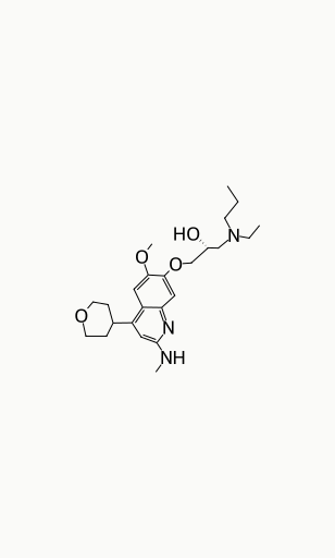 CCCN(CC)C[C@@H](O)COc1cc2nc(NC)cc(C3CCOCC3)c2cc1OC